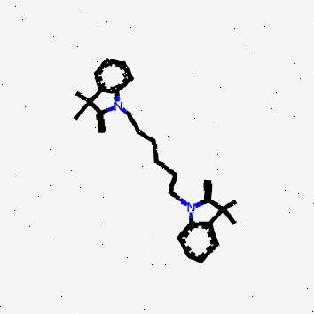 C=C1N(CCCCCCN2C(=C)C(C)(C)c3ccccc32)c2ccccc2C1(C)C